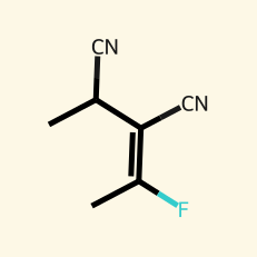 C/C(F)=C(/C#N)C(C)C#N